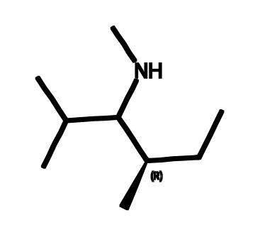 CC[C@@H](C)C(NC)C(C)C